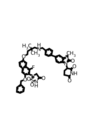 Cn1c(=O)n(C2CCC(=O)NC2=O)c2ccc(-c3ccc(CNCC(C)(C)CCOc4ccc5cc(OCc6ccccc6)c(N6CC(=O)NS6(=O)=O)c(F)c5c4)cc3)cc21